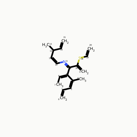 C=C\C=C(C)/C(=C\C)C(=N\C=C/C(C)C=C)/C(=C)SC=C